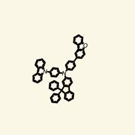 c1ccc(C2(c3ccccc3)c3ccccc3-c3ccc(N(c4ccc(-c5ccc6oc7ccccc7c6c5)cc4)c4ccc(-n5c6ccccc6c6ccccc65)cc4)cc32)cc1